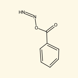 N=NOC(=O)c1ccccc1